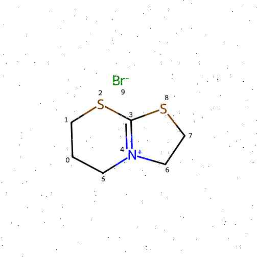 C1CSC2=[N+](C1)CCS2.[Br-]